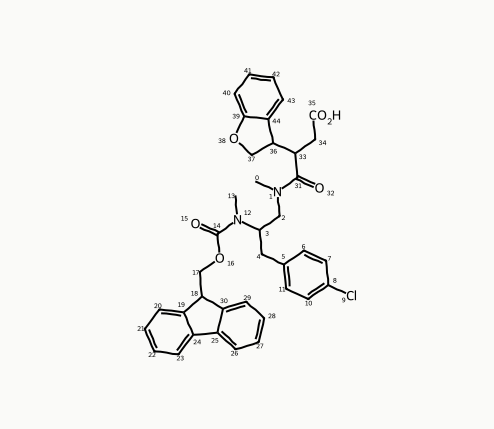 CN(CC(Cc1ccc(Cl)cc1)N(C)C(=O)OCC1c2ccccc2-c2ccccc21)C(=O)C(CC(=O)O)C1COc2ccccc21